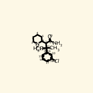 CN1CCCCC1C(C(N)=O)C(C)(C)c1cccc(Cl)c1